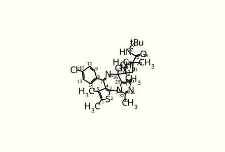 Cc1sc2c(c1C)C(c1ccc(Cl)cc1)=NC(C)(C(C)(C)CC(C)(C)C(=O)NC(C)(C)C)c1nnc(C)n1-2